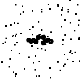 c1ccc(N(c2cccc(-c3cccc(-c4cccc5c4ccc4c6ccccc6ccc54)c3)c2)c2ccc3ccccc3c2)cc1